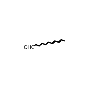 CC=CC=CCCCCCC=O